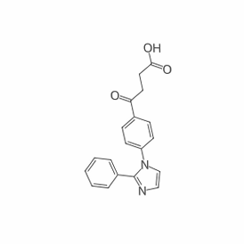 O=C(O)CCC(=O)c1ccc(-n2ccnc2-c2ccccc2)cc1